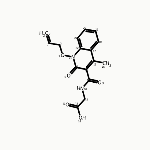 C=CCOn1c(=O)c(C(=O)NCC(=O)O)c(C)c2ccccc21